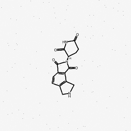 O=C1CC[C@@H](N2C(=O)c3ccc4c(c3C2=O)CNC4)C(=O)N1